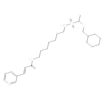 CC(OCC1CCCCC1)S(=O)(=O)NCCCCCCCNC(=O)/C=C/c1cccnc1